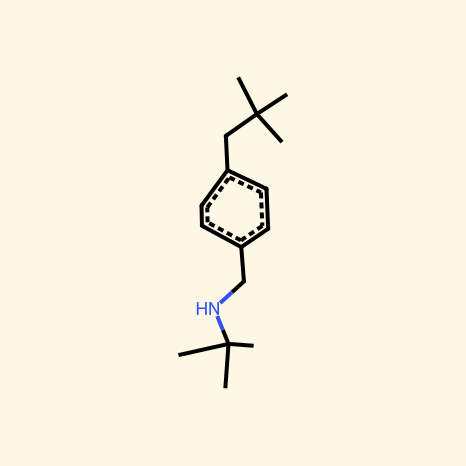 CC(C)(C)Cc1ccc(CNC(C)(C)C)cc1